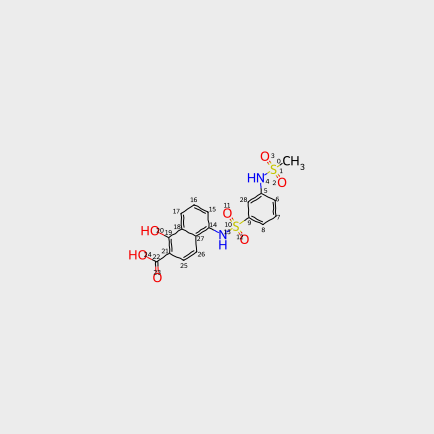 CS(=O)(=O)Nc1cccc(S(=O)(=O)Nc2cccc3c(O)c(C(=O)O)ccc23)c1